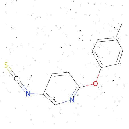 Cc1ccc(Oc2ccc(N=C=S)cn2)cc1